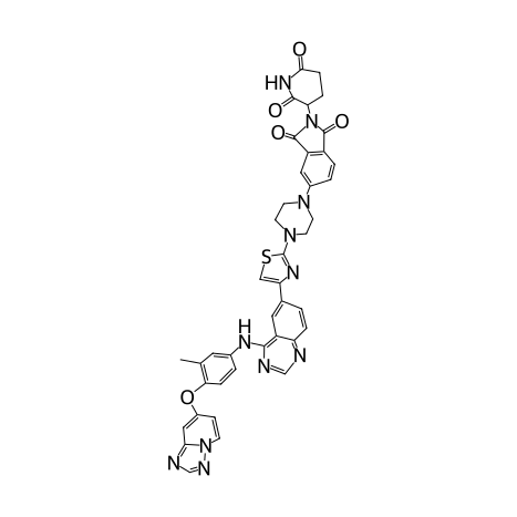 Cc1cc(Nc2ncnc3ccc(-c4csc(N5CCN(c6ccc7c(c6)C(=O)N(C6CCC(=O)NC6=O)C7=O)CC5)n4)cc23)ccc1Oc1ccn2ncnc2c1